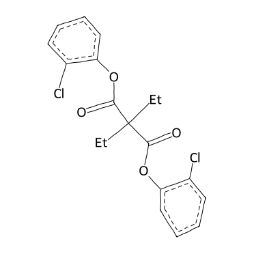 CCC(CC)(C(=O)Oc1ccccc1Cl)C(=O)Oc1ccccc1Cl